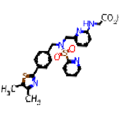 Cc1nc(-c2ccc(CN(Cc3cccc(NCC(=O)O)n3)S(=O)(=O)c3ccccn3)cc2)sc1C